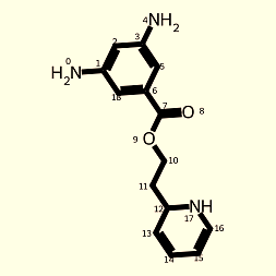 Nc1cc(N)cc(C(=O)OCCC2C=CC=CN2)c1